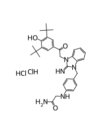 CC(C)(C)c1cc(C(=O)Cn2c(=N)n(Cc3ccc(NCC(N)=O)cc3)c3ccccc32)cc(C(C)(C)C)c1O.Cl.Cl